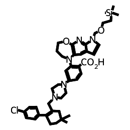 CC1(C)CCC(c2ccc(Cl)cc2)=C(CN2CCN(c3ccc(C(=O)O)c(N4CCCOc5nc6c(ccn6COCC[Si](C)(C)C)cc54)c3)CC2)C1